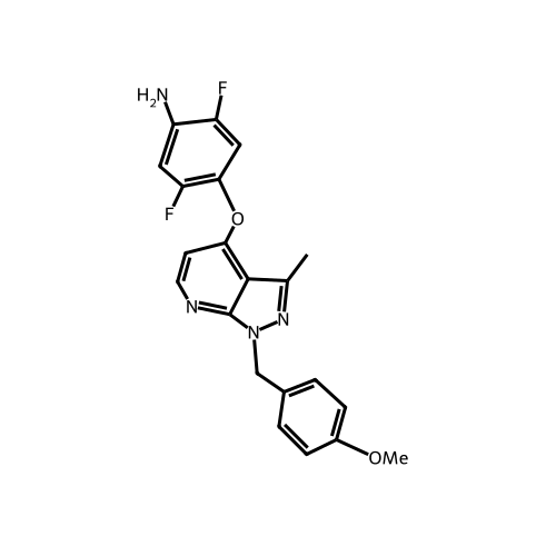 COc1ccc(Cn2nc(C)c3c(Oc4cc(F)c(N)cc4F)ccnc32)cc1